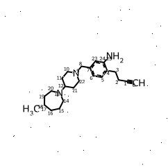 C#CCCc1ccc(CN2CCC(N3CCC[C@H](C)CC3)CC2)cc1N